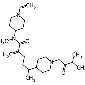 C=CN1CCC(N(C)C(=O)C(=C)CCC(C)C2CCN(CC(=O)C(C)C)CC2)CC1